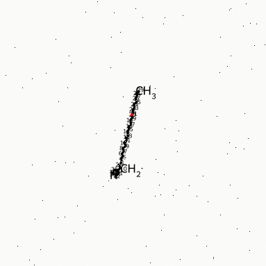 [CH2]C(CCCCCCCCCCCCCCCCCCCCCCCCCCCC)c1ccncc1